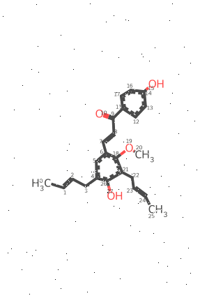 CC=CCc1cc(C=CC(=O)c2ccc(O)cc2)c(OC)c(CC=CC)c1O